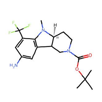 CN1c2c(cc(N)cc2C(F)(F)F)C2CN(C(=O)OC(C)(C)C)CC[C@@H]21